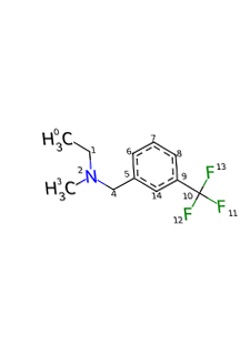 CCN(C)Cc1cccc(C(F)(F)F)c1